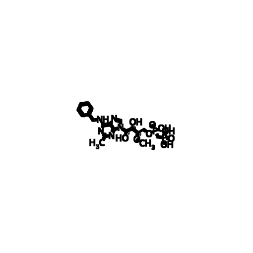 CO[C@H](COP(=O)(O)CP(=O)(O)O)[C@@H](O)[C@@H](O)n1cnc2c(NCc3ccccc3)nc(C)nc21